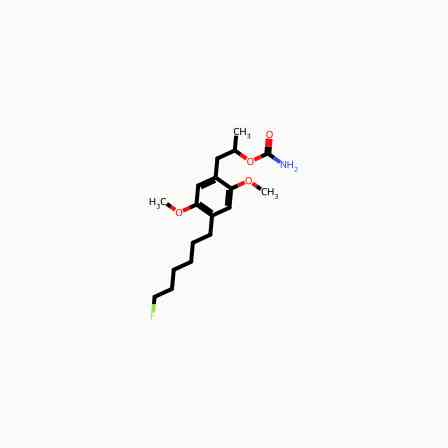 COc1cc(CC(C)OC(N)=O)c(OC)cc1CCCCCCF